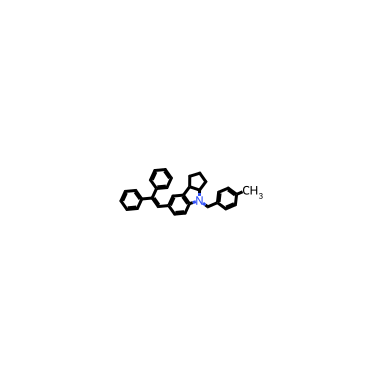 Cc1ccc(CN2c3ccc(C=C(c4ccccc4)c4ccccc4)cc3C3CCCC32)cc1